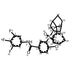 O=C(Nc1cc(F)c(F)c(F)c1)c1ccc(Cl)c(S(=O)(=O)[C@H]2CC3CCC(C2)[C@]3(O)c2ccccn2)c1